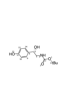 CC(C)(C)OC(=O)NC[C@@H](O)c1ccc(O)cc1